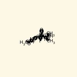 COC(=O)c1cnc(N2CCC(Oc3cc(F)cc4c(-c5cnc(OC)c(NS(C)(=O)=O)c5)nc(N5CCOCC5)nc34)CC2)c(F)c1